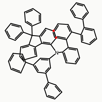 c1ccc(-c2cc(-c3ccccc3)cc(N(c3ccccc3-c3ccccc3-c3ccccc3-c3ccccc3)c3cccc4c3-c3ccccc3C4(c3ccccc3)c3ccccc3)c2)cc1